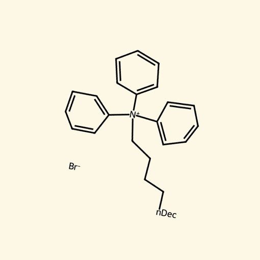 CCCCCCCCCCCCCC[N+](c1ccccc1)(c1ccccc1)c1ccccc1.[Br-]